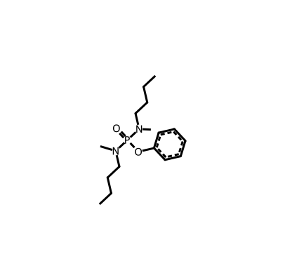 CCCCN(C)P(=O)(Oc1ccccc1)N(C)CCCC